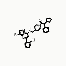 O=C(C(c1ccccc1)C1CCCC1)N1CCC(CNc2cc(-c3ccccc3Cl)nc3c(Br)cnn23)CC1